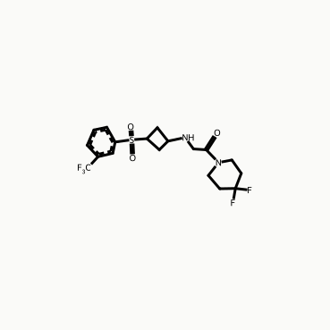 O=C(CNC1CC(S(=O)(=O)c2cccc(C(F)(F)F)c2)C1)N1CCC(F)(F)CC1